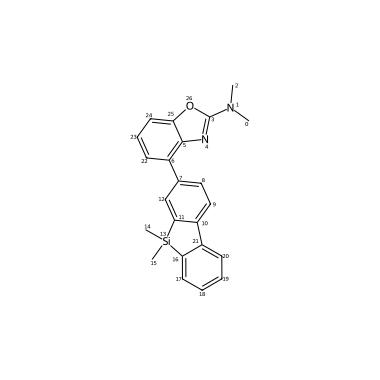 CN(C)c1nc2c(-c3ccc4c(c3)[Si](C)(C)c3ccccc3-4)cccc2o1